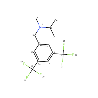 CC(C)N(C)Cc1cc(C(F)(F)F)cc(C(F)(F)F)c1